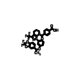 CC(Oc1cccc(-n2nc(C(F)(F)F)c3c2N(C(=O)c2ccc(C(=O)O)cc2)CCC3)c1)c1ccc2c(c1)OC(F)(F)O2